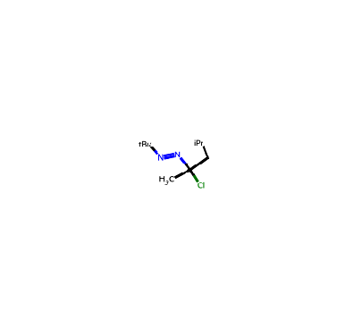 CC(C)CC(C)(Cl)N=NC(C)(C)C